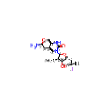 C=C1NC(=O)N(C2O[C@H](CC(I)(CC)CC)[C@@H](O)[C@H]2OC)C=C1CC(N)=O